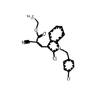 CCOC(=O)/C(C#N)=C\c1c(Cl)n(Cc2ccc(Cl)cc2)c2ccccc12